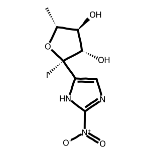 C[C@H]1O[C@](I)(c2cnc([N+](=O)[O-])[nH]2)[C@@H](O)[C@@H]1O